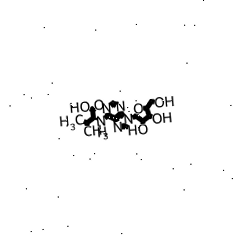 CC(C)[C@H](Nc1ncnc2c1ncn2C1OC(CO)C(O)C1O)C(=O)O